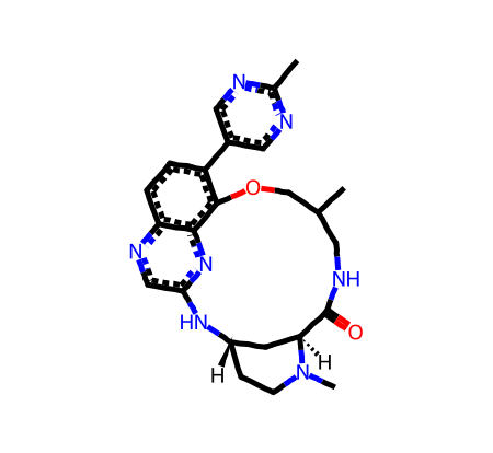 Cc1ncc(-c2ccc3ncc4nc3c2OCC(C)CNC(=O)[C@@H]2C[C@H](CCN2C)N4)cn1